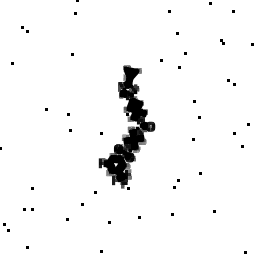 O=C(N1CC2(CC(n3cnc(C4CC4)n3)C2)C1)N1CC2(C1)CN(S(=O)(=O)c1cc(F)cc(C(F)(F)F)c1)C2